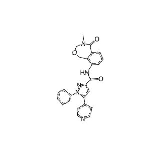 CN1COCc2c(NC(=O)c3cc(-c4ccncc4)n(-c4ccccc4)n3)cccc2C1=O